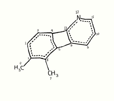 Cc1ccc2c(c1C)-c1cccnc1-2